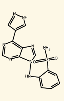 NS(=O)(=O)c1ccccc1Nn1cnc2c(-c3cn[nH]c3)ncnc21